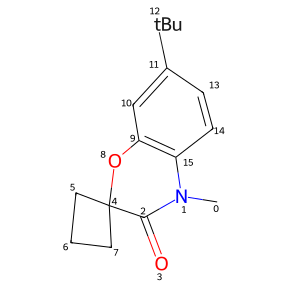 CN1C(=O)C2(CCC2)Oc2cc(C(C)(C)C)ccc21